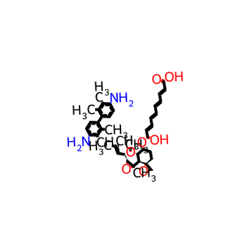 CO[C@@H]1[C@H](OC(O)/C=C/C=C/C=C/C=C/C(=O)O)CC[C@]2(CO2)[C@H]1[C@@]1(C)O[C@@H]1CC=C(C)C.Cc1c(N)ccc(-c2ccc(N)c(C)c2C)c1C